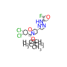 CC(C)(C)[Si](C)(C)OC[C@H](c1ccc(Cl)c(Cl)c1)n1ccc(-c2ccnc(N[C@H]3CCOC[C@H]3F)n2)cc1=O